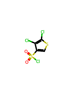 O=S(=O)(Cl)c1csc(Cl)c1Cl